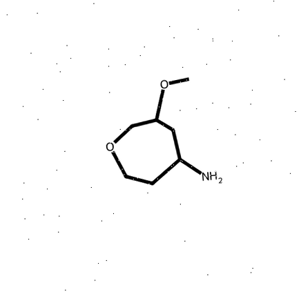 COC1COCCC(N)C1